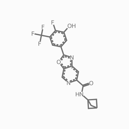 O=C(NC12CC(C1)C2)c1cc2nc(-c3cc(O)c(F)c(C(F)(F)F)c3)oc2cn1